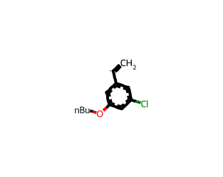 C=[C]c1cc(Cl)cc(OCCCC)c1